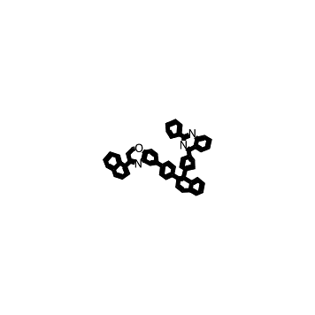 c1ccc(-c2nc(-c3ccc(-c4c(-c5ccc(-c6ccc7c(c6)N=C(c6cccc8ccccc68)CCO7)cc5)ccc5ccccc45)cc3)c3ccccc3n2)cc1